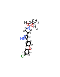 CC(C)(C)OC(=O)N1CCC(c2cc(-c3ccc(Oc4ccc(Cl)cc4)cc3)[nH]n2)CC1